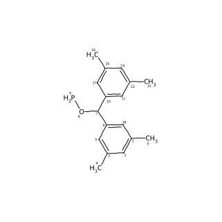 Cc1cc(C)cc(C(OP)c2cc(C)cc(C)c2)c1